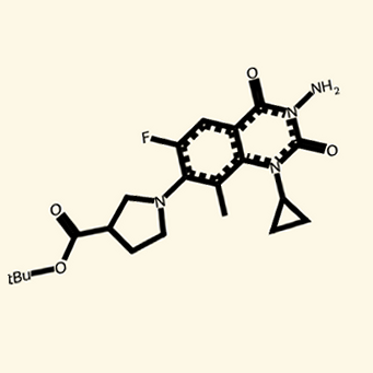 Cc1c(N2CCC(C(=O)OC(C)(C)C)C2)c(F)cc2c(=O)n(N)c(=O)n(C3CC3)c12